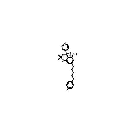 CC1(C)CC(O)(c2ccncc2)c2c(O)cc(CCCCCc3ccc(F)cc3)cc2O1